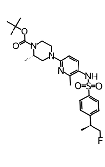 Cc1nc(N2CCN(C(=O)OC(C)(C)C)[C@@H](C)C2)ccc1NS(=O)(=O)c1ccc([C@H](C)CF)cc1